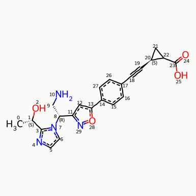 C[C@H](O)c1nccn1[C@H](CN)c1cc(-c2ccc(C#C[C@H]3CC3C(=O)O)cc2)on1